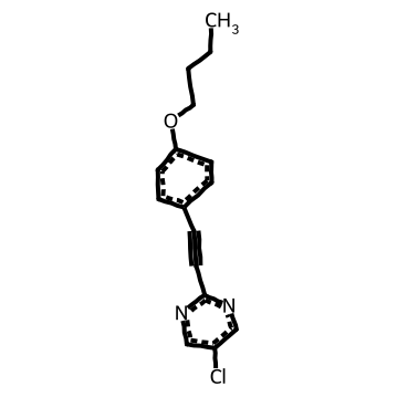 CCCCOc1ccc(C#Cc2ncc(Cl)cn2)cc1